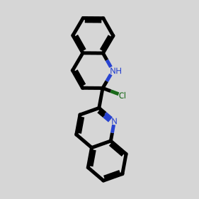 ClC1(c2ccc3ccccc3n2)C=Cc2ccccc2N1